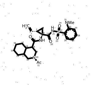 C=C[C@@H]1C[C@]1(NC(=O)C1CN(C(C)=O)CC2CCCCC21)C(=O)NS(=O)(=O)c1ccccc1NC